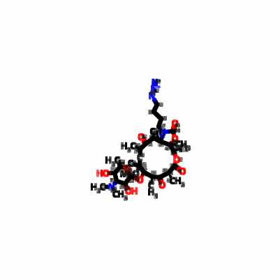 CC[C@H]1OC(=O)[C@H](C)C(=O)[C@H](C)[C@@H](OC2OC(C)C(O)C(N(C)C)C2O)[C@@](C)(OC)C[C@@H](C)C(=O)[C@H](C)[C@H]2N(CCCCN=[N+]=[N-])C(=O)O[C@]12C